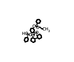 C=CCOP(Oc1ccc(OP(O)c2ccccc2)c(P2(=O)Oc3ccccc3-c3ccccc32)c1)c1ccccc1